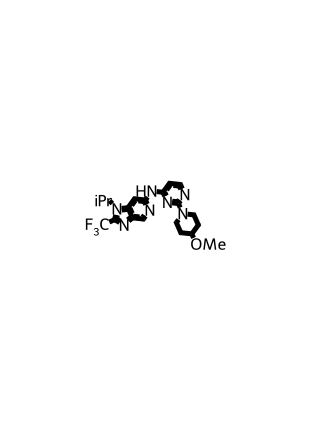 COC1CCN(c2nccc(Nc3cc4c(cn3)nc(C(F)(F)F)n4C(C)C)n2)CC1